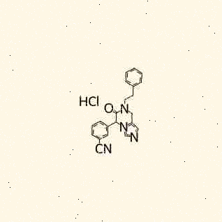 Cl.N#Cc1cccc(C2C(=O)N(CCc3ccccc3)Cc3cncn32)c1